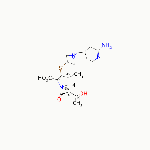 C[C@@H](O)[C@H]1C(=O)N2C(C(=O)O)=C(SC3CN(CC4CCN=C(N)C4)C3)[C@H](C)[C@H]12